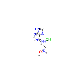 CON(C)CCNc1ncnc2[nH]cnc12.Cl